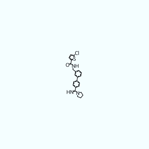 N=C(c1ccc(-c2cccc(CNC(=O)c3ccc(Cl)s3)c2)cc1)N1CCCC1